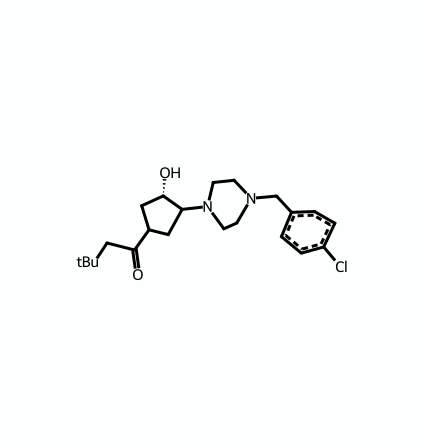 CC(C)(C)CC(=O)C1CC(N2CCN(Cc3ccc(Cl)cc3)CC2)[C@@H](O)C1